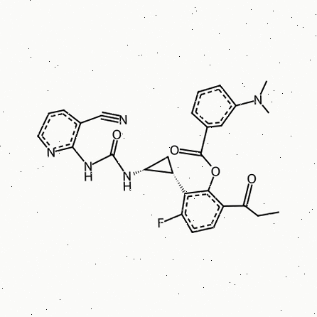 CCC(=O)c1ccc(F)c([C@H]2C[C@H]2NC(=O)Nc2ncccc2C#N)c1OC(=O)c1cccc(N(C)C)c1